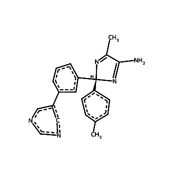 CC1=N[C@@](c2ccc(C)cc2)(c2cccc(-c3cncnc3)c2)N=C1N